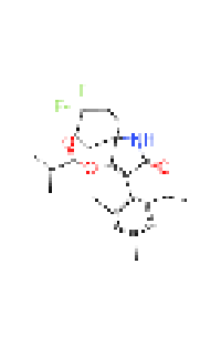 CCc1cc(C)cc(C)c1C1=C(OC(=O)C(C)C)C2(CCC(F)(F)CC2)NC1=O